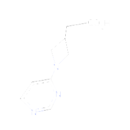 O=C(O)CC1CN(c2ccncn2)C1